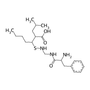 CCCCC(SNCNC(=O)C(N)Cc1ccccc1)C(CC(C)C)C(=O)O